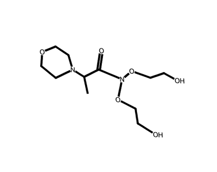 CC(C(=O)N(OCCO)OCCO)N1CCOCC1